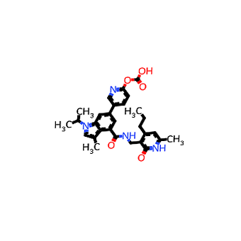 CCCc1cc(C)[nH]c(=O)c1CNC(=O)c1cc(-c2ccc(OC(=O)O)nc2)cc2c1c(C)cn2C(C)C